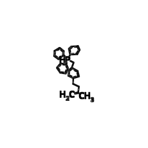 C=C(C)CCc1ccc(C[PH](c2ccccc2)(c2ccccc2)c2ccccc2)cc1